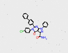 NC(=O)c1nn(-c2ccccc2)c2nc(-c3ccc(-c4ccccc4)cc3)n(-c3ccc(Cl)cc3)c(=O)c12